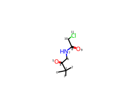 CC(C)(C)C(=O)CNC(=O)CCl